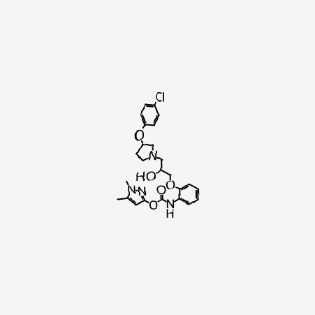 Cc1cc(OC(=O)Nc2ccccc2OCC(O)CN2CCC(Oc3ccc(Cl)cc3)C2)nn1C